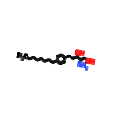 CCCCCCCCc1ccc(CCC(O)C(N)CO)cc1